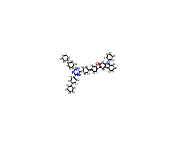 c1ccc(-c2ccc(-c3nc(-c4ccc(-c5ccccc5)cc4)nc(-c4ccc(-c5ccc6c(c5)oc5cc7c(cc56)c5ccccc5n7-c5ccccc5)cc4)n3)cc2)cc1